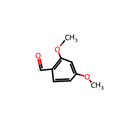 COc1ccc([C]=O)c(OC)c1